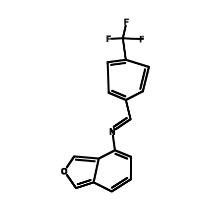 FC(F)(F)c1ccc(/C=N/c2cccc3cocc23)cc1